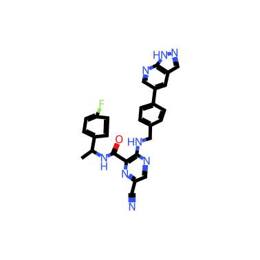 CC(NC(=O)c1nc(C#N)cnc1NCc1ccc(-c2cnc3[nH]ncc3c2)cc1)c1ccc(F)cc1